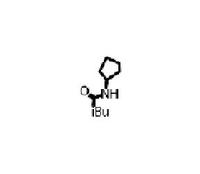 CCC(C)C(=O)NC1CCCC1